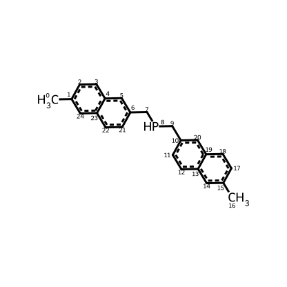 Cc1ccc2cc(CPCc3ccc4cc(C)ccc4c3)ccc2c1